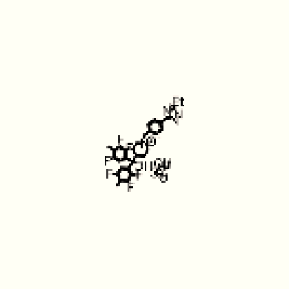 CCS(=O)(=O)O.CCn1nnc(-c2ccc(C[N+]3([O-])CCC(C(O)(c4cc(F)c(C)c(F)c4F)c4cc(F)c(C)c(F)c4F)CC3)cc2)n1